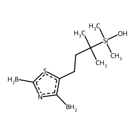 Bc1nc(B)c(CCC(C)(C)[Si](C)(C)O)s1